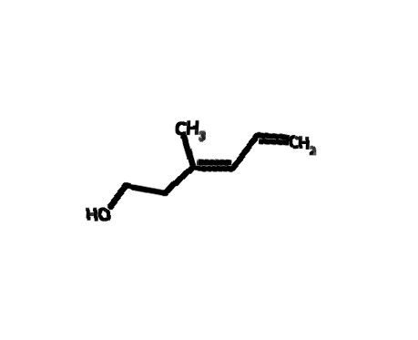 C=C/C=C(\C)CCO